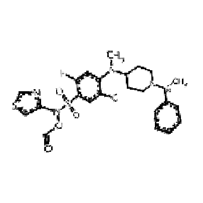 C[C@H](c1ccccc1)N1CCC(N(C)c2cc(F)c(S(=O)(=O)N(OC=O)c3cscn3)cc2Cl)CC1